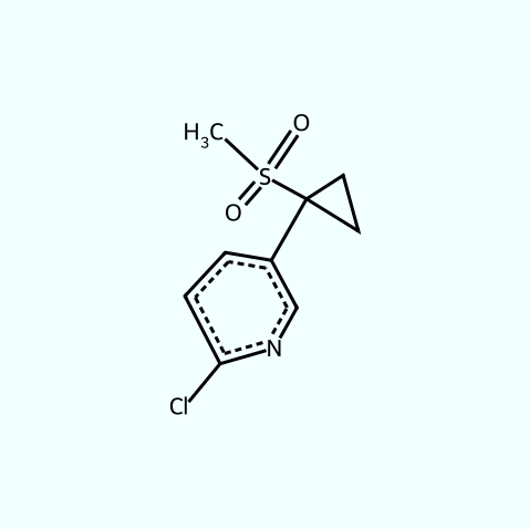 CS(=O)(=O)C1(c2ccc(Cl)nc2)CC1